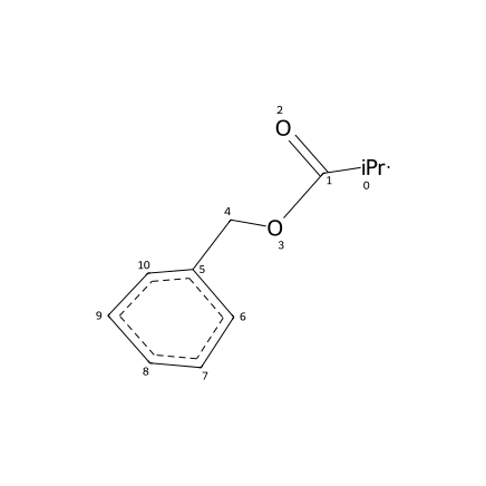 C[C](C)C(=O)OCc1ccccc1